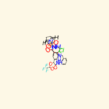 O=C(NC1C[C@H]2CC[C@@H](C1)N2S(=O)(=O)N1CCC(NCc2ccccc2)CC1)c1cc2c(cc1Cl)NC(=O)C2OC(=O)C(F)(F)F